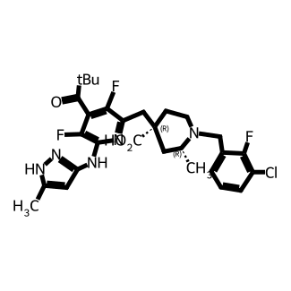 Cc1cc(Nc2nc(C[C@@]3(C(=O)O)CCN(Cc4cccc(Cl)c4F)[C@H](C)C3)c(F)c(C(=O)C(C)(C)C)c2F)n[nH]1